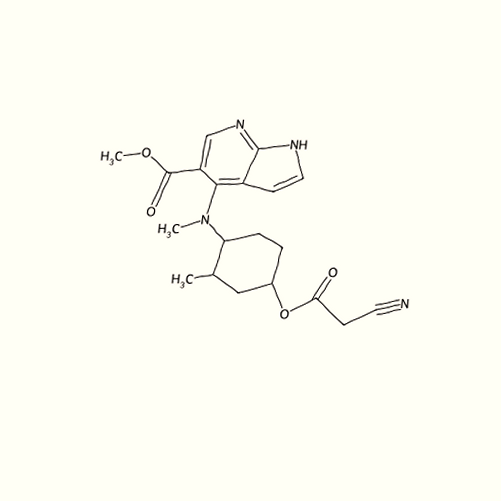 COC(=O)c1cnc2[nH]ccc2c1N(C)C1CCC(OC(=O)CC#N)CC1C